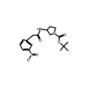 CC(C)(C)OC(=O)N1[CH]CC(NC(=O)Cc2cccc([N+](=O)[O-])c2)C1